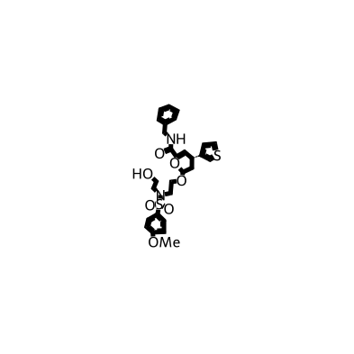 COc1ccc(S(=O)(=O)N(CCO)CCOC2C[C@@H](c3ccsc3)C=C(C(=O)NCc3ccccc3)O2)cc1